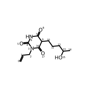 C=CCN1C(=O)NC(=O)C(CCCC(C)O)C1=O